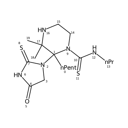 CCCCCC1(N2CC(=O)NC2=S)N(C(=S)NCCC)CCNC1(C)C